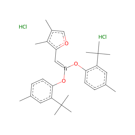 Cc1ccc([O][Ti](=[CH]c2occ(C)c2C)[O]c2ccc(C)cc2C(C)(C)C)c(C(C)(C)C)c1.Cl.Cl